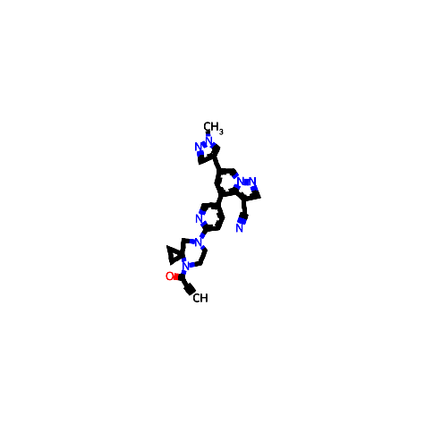 C#CC(=O)N1CCN(c2ccc(-c3cc(-c4cnn(C)c4)cn4ncc(C#N)c34)cn2)CC12CC2